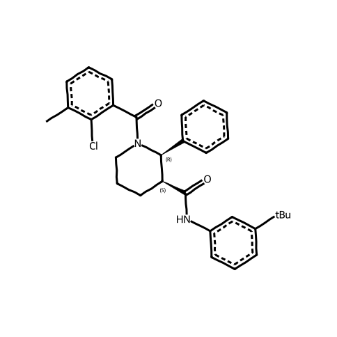 Cc1cccc(C(=O)N2CCC[C@H](C(=O)Nc3cccc(C(C)(C)C)c3)[C@@H]2c2ccccc2)c1Cl